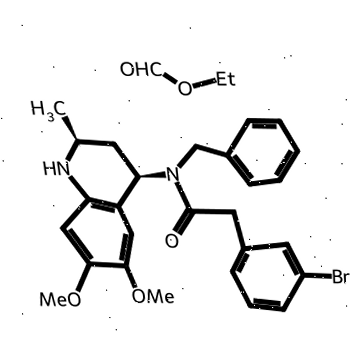 CCOC=O.COc1cc2c(cc1OC)[C@H](N(Cc1ccccc1)C(=O)Cc1cccc(Br)c1)C[C@H](C)N2